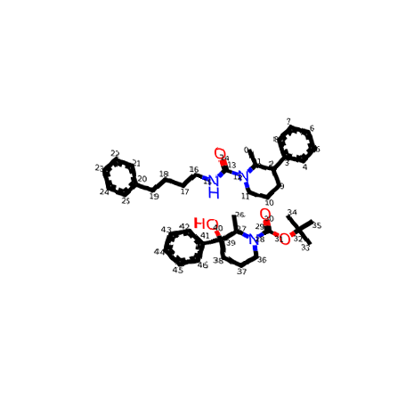 CC1C(c2ccccc2)CCCN1C(=O)NCCCCc1ccccc1.CC1N(C(=O)OC(C)(C)C)CCCC1(O)c1ccccc1